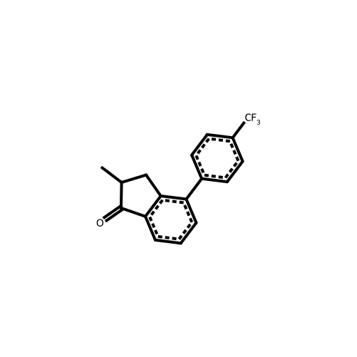 CC1Cc2c(cccc2-c2ccc(C(F)(F)F)cc2)C1=O